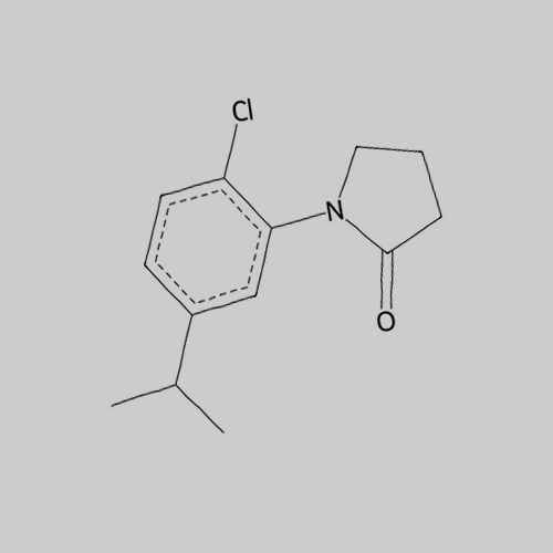 CC(C)c1ccc(Cl)c(N2CCCC2=O)c1